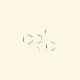 O=Cc1nc2ccccc2c(O)c1-c1ccccc1